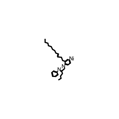 CCCCCCCCC=CCCc1ccccc1N=CC(CCCC)=Nc1ccccc1.[Ni]